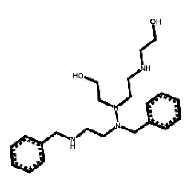 OCCNCCN(CCO)N(CCNCc1ccccc1)Cc1ccccc1